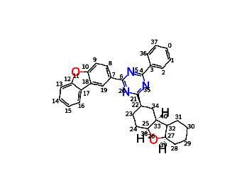 c1ccc(-c2nc(-c3ccc4oc5ccccc5c4c3)nc([C@@H]3CC[C@@H]4O[C@@H]5CCCCC5[C@@H]4C3)n2)cc1